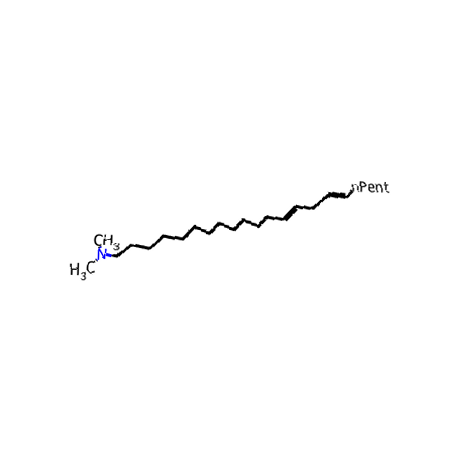 CCCCCC=CCC=CCCCCCCCCCCCCN(C)C